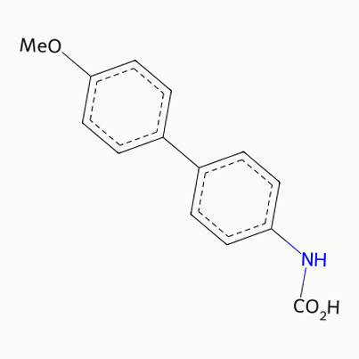 COc1ccc(-c2ccc(NC(=O)O)cc2)cc1